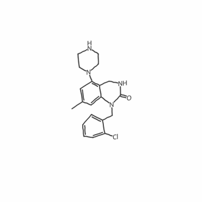 Cc1cc(N2CCNCC2)c2c(c1)N(Cc1ccccc1Cl)C(=O)NC2